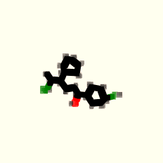 C/C(Br)=C(/C=C/C(=O)c1ccc(F)cc1)c1ccccc1